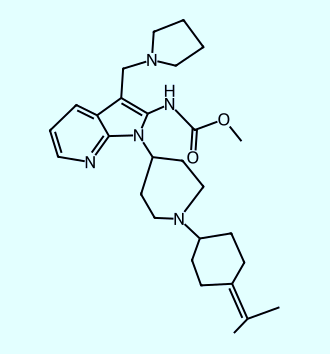 COC(=O)Nc1c(CN2CCCC2)c2cccnc2n1C1CCN(C2CCC(=C(C)C)CC2)CC1